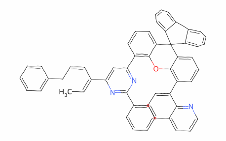 C/C=C(\C=C/Cc1ccccc1)c1cc(-c2cccc3c2Oc2c(-c4cccc5cccnc45)cccc2C32c3ccccc3-c3ccccc32)nc(-c2ccccc2)n1